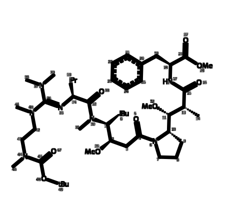 CC[C@H](C)[C@@H]([C@@H](CC(=O)N1CCC[C@H]1[C@H](OC)[C@@H](C)C(=O)N[C@@H](Cc1ccccc1)C(=O)OC)OC)N(C)C(=O)[C@@H](/N=C(\N(C)C)N(C)CCN(C)C(=O)OC(C)(C)C)C(C)C